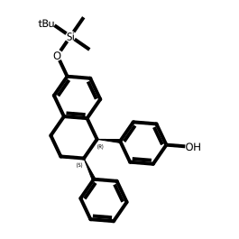 CC(C)(C)[Si](C)(C)Oc1ccc2c(c1)CC[C@H](c1ccccc1)[C@@H]2c1ccc(O)cc1